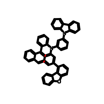 c1cc(-c2cccc3oc4ccccc4c23)cc(N(c2cccc(-n3c4ccccc4c4ccccc43)c2)c2ccccc2-c2cccc3ccccc23)c1